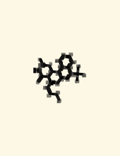 C=C(O)C1C(COC)c2c(cc(C(C)(C)C)c3ccccc23)C=[N+]1/C=C\CC